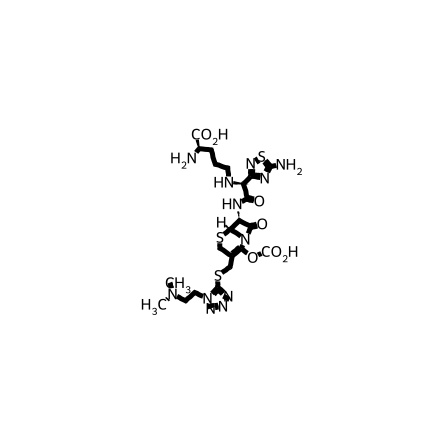 CN(C)CCn1nnnc1SCC1=C(OC(=O)O)N2C(=O)[C@@H](NC(=O)[C@@H](NCCC[C@@H](N)C(=O)O)c3nsc(N)n3)[C@@H]2SC1